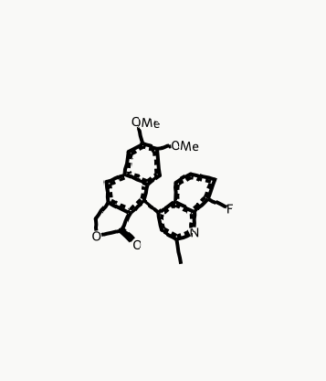 COc1cc2cc3c(c(-c4cc(C)nc5c(F)cccc45)c2cc1OC)C(=O)OC3